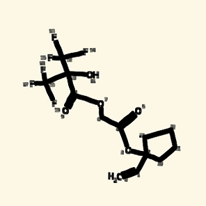 C=CC1(OC(=O)COC(=O)C(O)(C(F)(F)F)C(F)(F)F)CCCC1